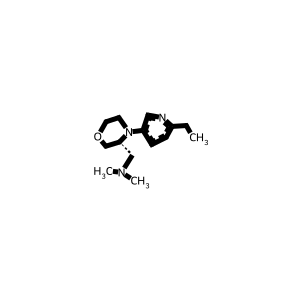 CCc1ccc(N2CCOC[C@H]2CN(C)C)cn1